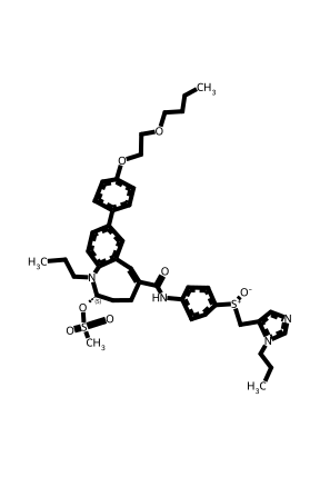 CCCCOCCOc1ccc(-c2ccc3c(c2)C=C(C(=O)Nc2ccc([S+]([O-])Cc4cncn4CCC)cc2)CC[C@H](OS(C)(=O)=O)N3CCC)cc1